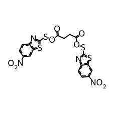 O=C(CCC(=O)OSc1nc2ccc([N+](=O)[O-])cc2s1)OSc1nc2ccc([N+](=O)[O-])cc2s1